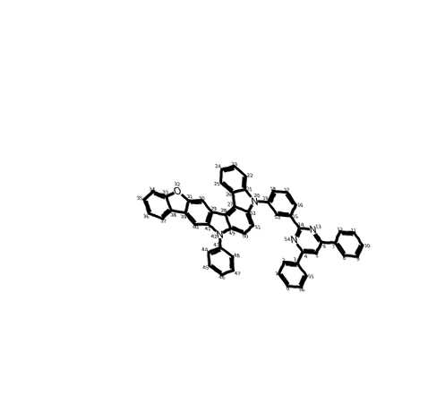 c1ccc(-c2cc(-c3ccccc3)nc(-c3cccc(-n4c5ccccc5c5c6c7cc8oc9ccccc9c8cc7n(-c7ccccc7)c6ccc54)c3)n2)cc1